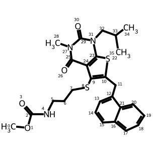 COC(=O)NCCCSc1c(Cc2cccc3ccccc23)sc2c1c(=O)n(C)c(=O)n2CC(C)C